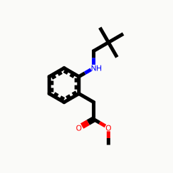 COC(=O)Cc1ccccc1NCC(C)(C)C